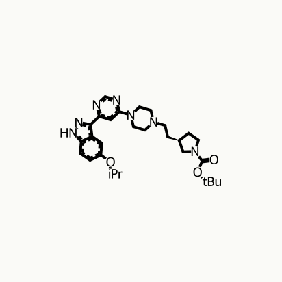 CC(C)Oc1ccc2[nH]nc(-c3cc(N4CCN(CC[C@H]5CCN(C(=O)OC(C)(C)C)C5)CC4)ncn3)c2c1